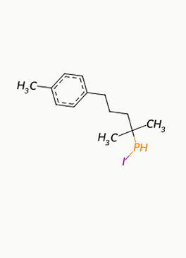 Cc1ccc(CCCC(C)(C)PI)cc1